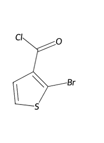 O=C(Cl)c1ccsc1Br